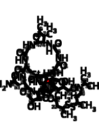 CC[C@H](C)[C@@H]1NC(=O)CNC(=O)[C@@H]2Cc3c([nH]c4cc(OCCC(C)SSC(C)CCNC(C)C)ccc34)[S@+]([O-])CC(NC(=O)CNC1=O)C(=O)N[C@@H](CC(N)=O)C(=O)N1C[C@H](O)C[C@H]1C(=O)N[C@@H]([C@@H](C)[C@@H](O)CO)C(=O)N2